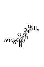 COC(=O)c1ccc2c(c1)NC(=O)/C2=C(\Nc1ccc(C(=O)NCCC(N)=O)cc1)c1ccccc1